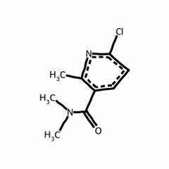 Cc1nc(Cl)ccc1C(=O)N(C)C